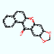 O=c1c2cc3c(cc2oc2ccc4ccccc4c12)OCO3